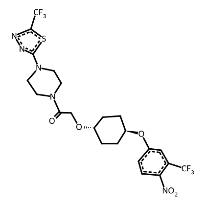 O=C(CO[C@H]1CC[C@H](Oc2ccc([N+](=O)[O-])c(C(F)(F)F)c2)CC1)N1CCN(c2nnc(C(F)(F)F)s2)CC1